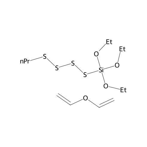 C=COC=C.CCCSSSS[Si](OCC)(OCC)OCC